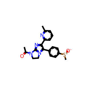 CC(=O)N1CCn2c1nc(-c1cccc(C)n1)c2-c1ccc([S+](C)[O-])cc1